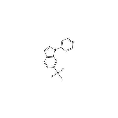 FC(F)(F)c1ccc2ccn(-c3ccncc3)c2c1